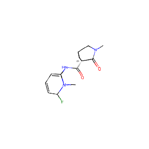 CN1CC[C@@H](C(=O)NC2=CC=CC(F)N2C)C1=O